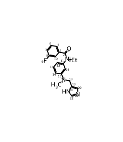 CCN(C(=O)c1cccc(F)c1)c1cccc(N(C)Cc2cnc[nH]2)c1